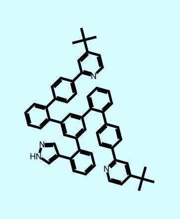 CC(C)(C)c1ccnc(-c2ccc(-c3ccccc3-c3cc(-c4ccccc4-c4ccc(-c5cc(C(C)(C)C)ccn5)cc4)cc(-c4ccccc4-c4cn[nH]c4)c3)cc2)c1